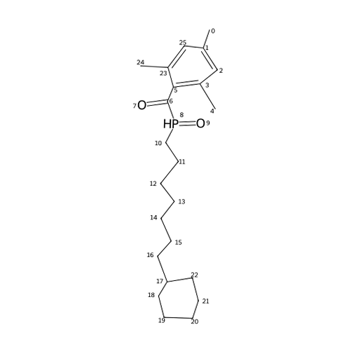 Cc1cc(C)c(C(=O)[PH](=O)CCCCCCCC2CCCCC2)c(C)c1